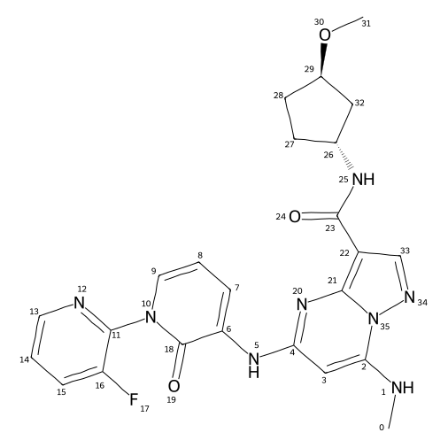 CNc1cc(Nc2cccn(-c3ncccc3F)c2=O)nc2c(C(=O)N[C@@H]3CC[C@@H](OC)C3)cnn12